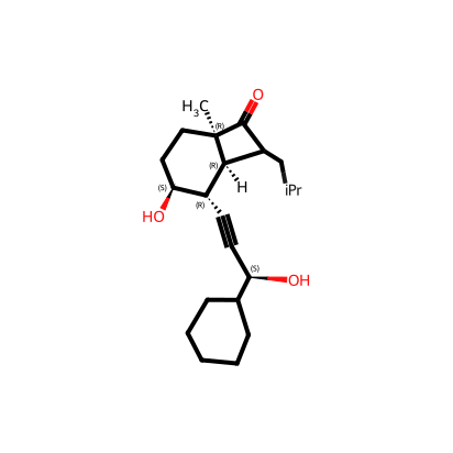 CC(C)CC1C(=O)[C@]2(C)CC[C@H](O)[C@@H](C#C[C@@H](O)C3CCCCC3)[C@H]12